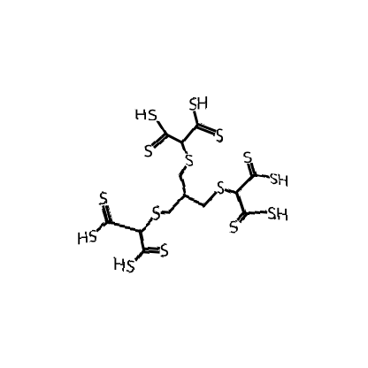 S=C(S)C(SCC(CSC(C(=S)S)C(=S)S)CSC(C(=S)S)C(=S)S)C(=S)S